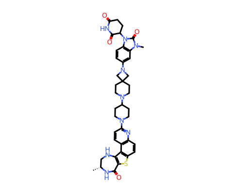 C[C@@H]1CNc2c(sc3ccc4nc(N5CCC(N6CCC7(CC6)CN(c6ccc8c(c6)n(C)c(=O)n8C6CCC(=O)NC6=O)C7)CC5)ccc4c23)C(=O)N1